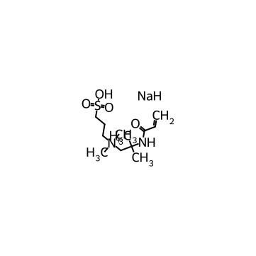 C=CC(=O)NC(C)(C)C[N+](C)(C)CCCS(=O)(=O)O.[NaH]